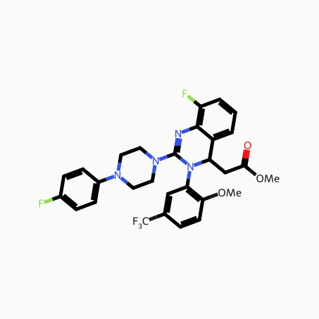 COC(=O)CC1c2cccc(F)c2N=C(N2CCN(c3ccc(F)cc3)CC2)N1c1cc(C(F)(F)F)ccc1OC